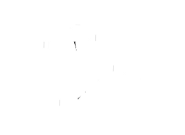 C[C@@H]1CCC[C@]2(C)CC[C@@H](C(C)(C)O)C[C@@H]12